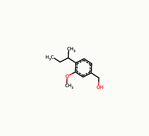 CCC(C)c1ccc(CO)cc1OC